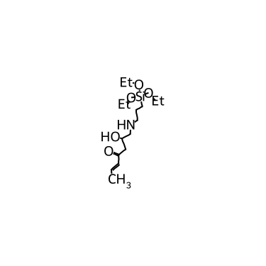 CC=CC(=O)CC(O)CNCCC[Si](OCC)(OCC)OCC